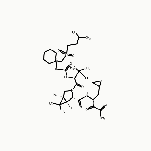 CC(C)CCS(=O)(=O)CC1(NC(=O)N[C@H](C(=O)N2C[C@H]3[C@@H]([C@H]2C(=O)NC(CC2CC2)C(=O)C(N)=O)C3(C)C)C(C)(C)C)CCCCC1